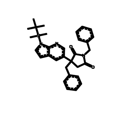 CC(C)(C)[Si](C)(C)n1ccc2cc(C3(Cc4ccccc4)CC(=O)N(Cc4ccccc4)C3=O)cnc21